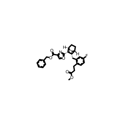 COC(=O)CCc1ccc(F)cc1C[C@@H]1[C@H](c2nc(C(=O)OCc3ccccc3)co2)[C@H]2CC[C@H]1O2